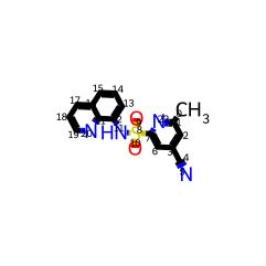 Cc1cc(C#N)cc(S(=O)(=O)Nc2cccc3cccnc23)n1